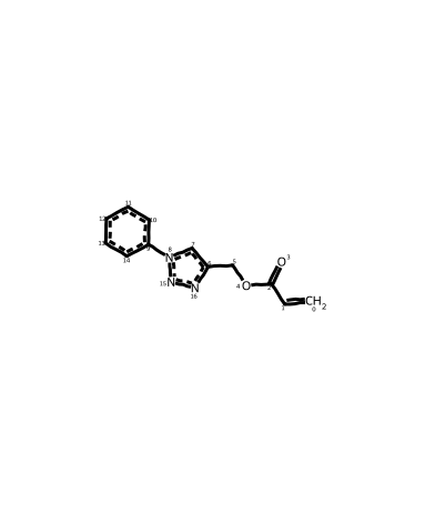 C=CC(=O)OCc1cn(-c2ccccc2)nn1